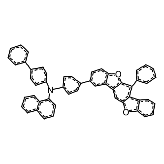 c1ccc(-c2ccc(N(c3ccc(-c4ccc5oc6c(-c7ccccc7)c7c(cc6c5c4)oc4ccccc47)cc3)c3cccc4ccccc34)cc2)cc1